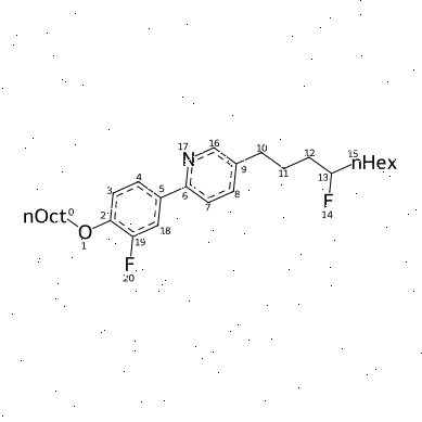 CCCCCCCCOc1ccc(-c2ccc(CCCC(F)CCCCCC)cn2)cc1F